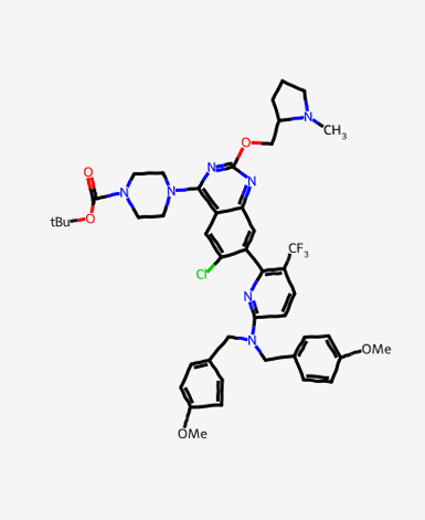 COc1ccc(CN(Cc2ccc(OC)cc2)c2ccc(C(F)(F)F)c(-c3cc4nc(OCC5CCCN5C)nc(N5CCN(C(=O)OC(C)(C)C)CC5)c4cc3Cl)n2)cc1